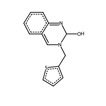 OC1N=c2ccccc2=CN1Cc1cccs1